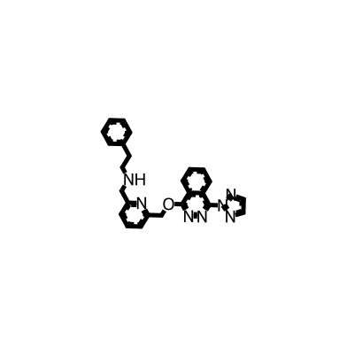 c1ccc(CCNCc2cccc(COc3nnc(-n4nccn4)c4ccccc34)n2)cc1